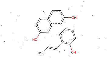 CC=Cc1ccccc1O.Oc1ccc2ccc(O)cc2c1